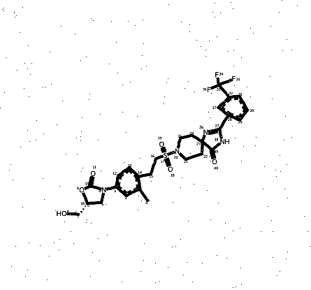 Cc1cc(N2C[C@H](CO)OC2=O)ccc1CCS(=O)(=O)N1CCC2(CC1)N=C(c1cccc(C(F)(F)F)c1)NC2=O